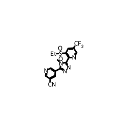 CCS(=O)(=O)c1cc(C(F)(F)F)cnc1-c1nnc(-c2cncc(C#N)c2)n1C